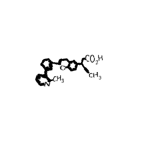 CC#CC(CC(=O)O)c1ccc2c(c1)CCC(c1cccc(-c3cccnc3C)c1)O2